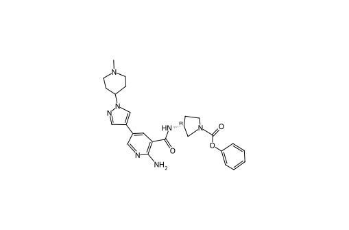 CN1CCC(n2cc(-c3cnc(N)c(C(=O)N[C@@H]4CCN(C(=O)Oc5ccccc5)C4)c3)cn2)CC1